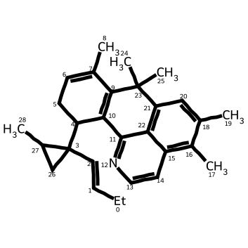 CCC=CC1(C2CC=C(C)C3=C2c2nccc4c(C)c(C)cc(c24)C3(C)C)CC1C